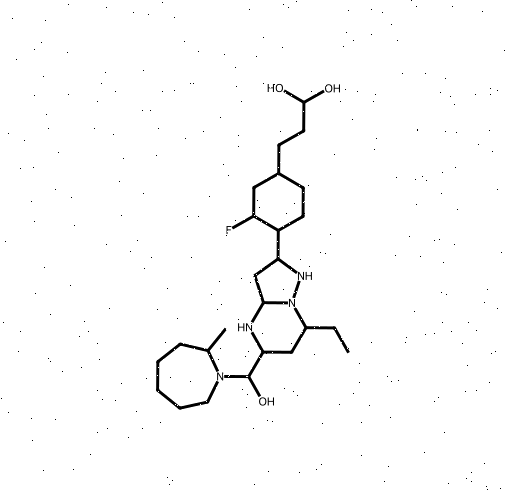 CCC1CC(C(O)N2CCCCCC2C)NC2CC(C3CCC(CCC(O)O)CC3F)NN12